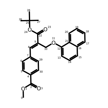 COC(=O)c1ccc(/C=C(\COc2cccc3ccccc23)C(=O)OC(C)(C)C)cc1